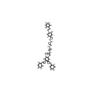 C(=Cc1ccc(OCCOCCOCCNCc2ccc(OCc3ccccc3)c(OCc3ccccc3)c2)cc1)c1ccccc1